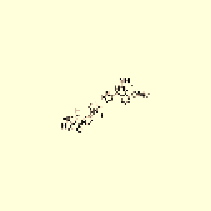 COc1cccc2c(-c3cn(Cc4cccn([C@@H]5CCN(C(=O)C(C)(C)O)C5)c4=O)nn3)nc(N)nc12